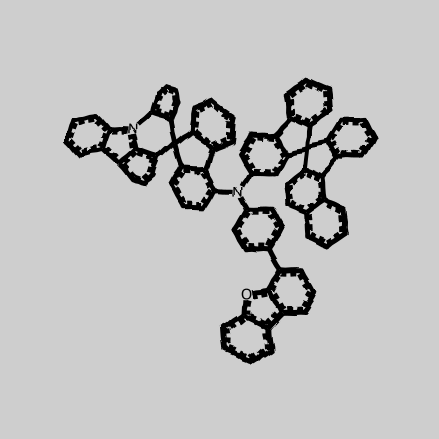 c1ccc2c(c1)-c1ccc(N(c3ccc(-c4cccc5c4oc4ccccc45)cc3)c3cccc4c3-c3ccccc3C43c4ccccc4-n4c5ccccc5c5cccc3c54)cc1C21c2ccccc2-c2c1ccc1ccccc21